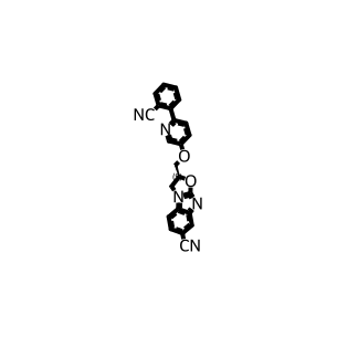 N#Cc1ccc2c(c1)nc1n2C[C@@H](COc2ccc(-c3ccccc3C#N)nc2)O1